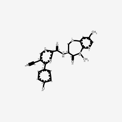 Cc1cnc2c(c1)OC[C@H](NC(=O)c1ncc(C#N)c(-c3ccc(Cl)cc3)n1)C(=O)N2C